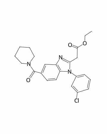 CCOC(=O)Cc1nc2cc(C(=O)N3CCCCC3)ccc2n1-c1cccc(Cl)c1